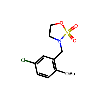 CC(C)COc1ccc(Cl)cc1CN1CCOS1(=O)=O